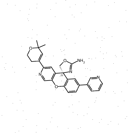 CC1(C)C=C(c2cc3c(cn2)Oc2ccc(-c4cccnc4)cc2[C@@]32COC(N)=N2)CCO1